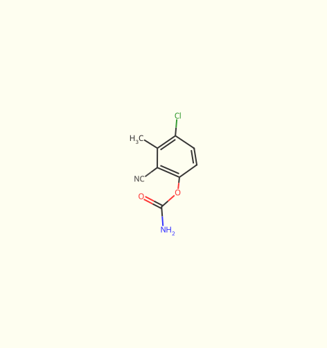 Cc1c(Cl)ccc(OC(N)=O)c1C#N